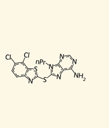 [CH2]CCn1c(Sc2nc3ccc(Cl)c(Cl)c3s2)nc2c(N)ncnc21